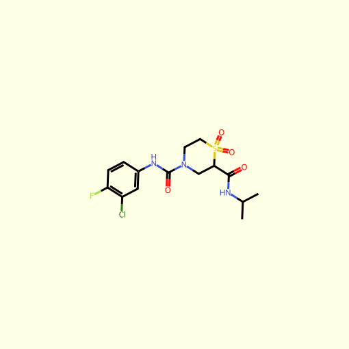 CC(C)NC(=O)C1CN(C(=O)Nc2ccc(F)c(Cl)c2)CCS1(=O)=O